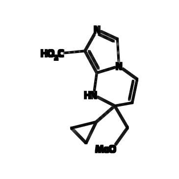 COCC1(C2CC2)C=Cn2cnc(C(=O)O)c2N1